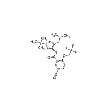 CC(C)Cn1cc(C(C)(C)C)sc1=NC(=O)c1cc(C#N)ccc1OCC(F)(F)F